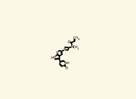 C=CC(=O)N(C)C1CN(c2cnc3[nH]cc(-c4ccc(=O)[nH]c4)c3c2)C1